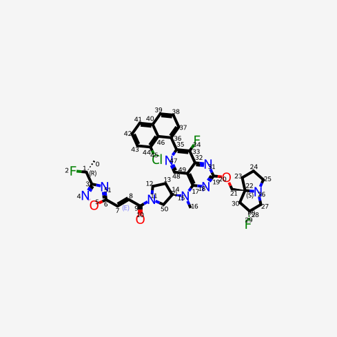 C[C@@H](F)c1noc(/C=C/C(=O)N2CC[C@@H](N(C)c3nc(OC[C@@]45CCCN4C[C@H](F)C5)nc4c(F)c(-c5cccc6cccc(Cl)c56)ncc34)C2)n1